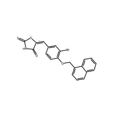 O=C1NC(=S)S/C1=C/c1ccc(OCc2cccc3ccccc23)c(Br)c1